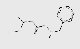 O=CNC(CC(=O)N[C@@H](Cc1ccccc1)C(=O)O)C(=O)O